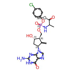 C=C1[C@H](CO[P@@](=O)(NC(C)C(=O)OC)Oc2ccc(Cl)cc2)[C@@H](O)C[C@@H]1n1cnc2c(=O)[nH]c(N)nc21